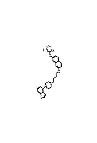 CCCNC(=O)Oc1ccc2ccc(OCCCCN3CCN(c4cccc5sccc45)CC3)cc2n1